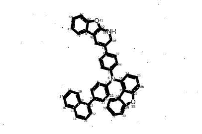 C1=C(c2ccc(N(c3ccc(-c4cccc5ccccc45)cc3)c3cccc4oc5ccccc5c34)cc2)CNc2oc3ccccc3c21